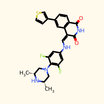 C[C@@H]1CN(c2c(F)cc(NC=C3C(=O)NC(=O)c4ccc(-c5ccsc5)cc43)cc2F)C[C@H](C)N1